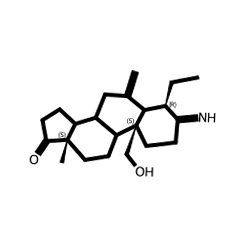 C=C1CC2C(CC[C@]3(C)C(=O)CCC23)[C@@]2(CO)CCC(=N)[C@H](CC)C12